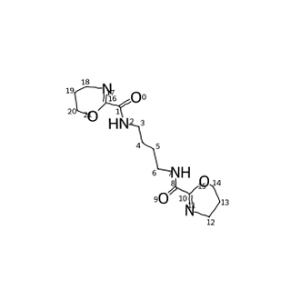 O=C(NCCCCNC(=O)C1=NCCCO1)C1=NCCCO1